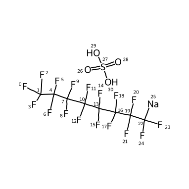 FC(F)(F)C(F)(F)C(F)(F)C(F)(F)C(F)(F)C(F)(F)C(F)(F)[C](F)(F)[Na].O=S(=O)(O)O